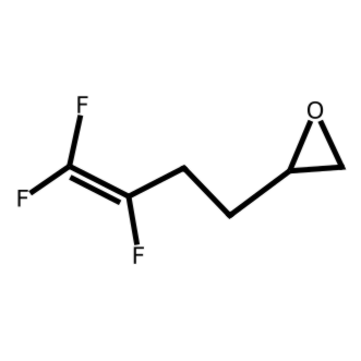 FC(F)=C(F)CCC1CO1